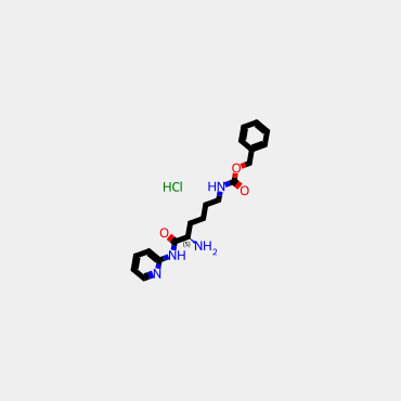 Cl.N[C@@H](CCCCNC(=O)OCc1ccccc1)C(=O)Nc1ccccn1